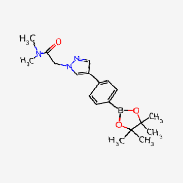 CN(C)C(=O)Cn1cc(-c2ccc(B3OC(C)(C)C(C)(C)O3)cc2)cn1